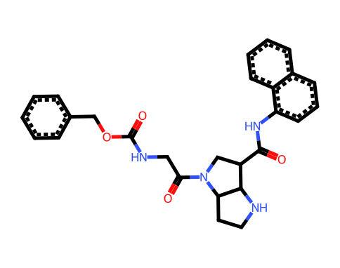 O=C(NCC(=O)N1CC(C(=O)Nc2cccc3ccccc23)C2NCCC21)OCc1ccccc1